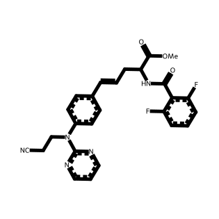 COC(=O)C(C/C=C/c1ccc(N(CCC#N)c2ncccn2)cc1)NC(=O)c1c(F)cccc1F